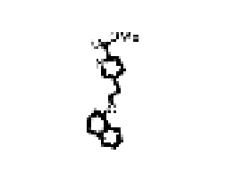 COC(=O)c1ccc(CCOc2cccc3ccccc23)cn1